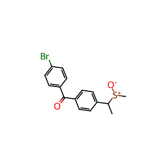 CC(c1ccc(C(=O)c2ccc(Br)cc2)cc1)[S+](C)[O-]